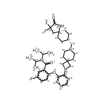 CC(C)N(C(=O)c1cc(F)ccc1Oc1nncnc1N1CC2(CCN(C[C@H]3CC[C@]4(CC3)CC(F)(F)C(=O)N4)CC2)C1)C(C)C